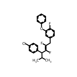 CC(C)C(C(F)=C(F)Cc1ccc(F)c(Oc2ccccc2)c1)c1ccc(Cl)cc1